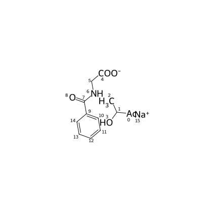 CC(=O)C(C)O.O=C([O-])CNC(=O)c1ccccc1.[Na+]